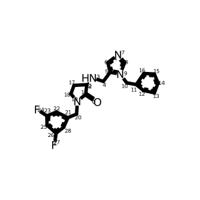 O=C1[C@@H](NCc2cncn2Cc2ccccc2)CCN1Cc1cc(F)cc(F)c1